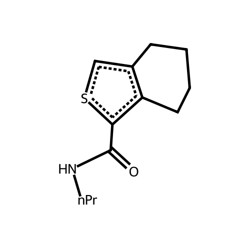 CCCNC(=O)c1scc2c1CCCC2